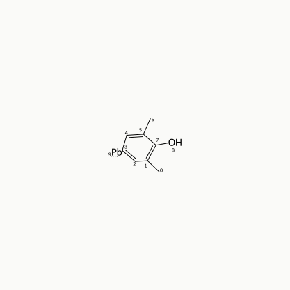 Cc1cccc(C)c1O.[Pb]